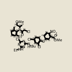 CCNc1nc(Cl)nc(NC(C)(C)C)n1.CCc1cccc(C)c1N(C(=O)CCl)C(C)COC.COC(=O)c1cc(Oc2ccc(Cl)cc2Cl)ccc1[N+](=O)[O-]